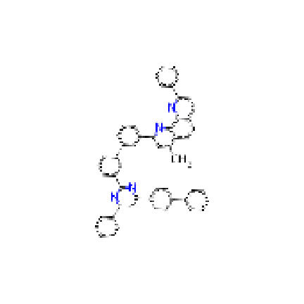 Cc1cc(-c2cccc(-c3cccc(-c4nc(-c5ccccc5)cc(-c5ccc(-c6ccccc6)cc5)n4)c3)c2)nc2c1ccc1ccc(-c3ccccc3)nc12